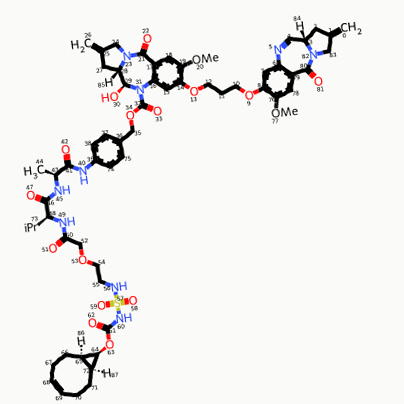 C=C1C[C@H]2C=Nc3cc(OCCCOc4cc5c(cc4OC)C(=O)N4CC(=C)C[C@H]4[C@H](O)N5C(=O)OCc4ccc(NC(=O)[C@H](C)NC(=O)[C@@H](NC(=O)COCCNS(=O)(=O)NC(=O)O[C@@H]5[C@@H]6CC/C=C\CC[C@@H]65)C(C)C)cc4)c(OC)cc3C(=O)N2C1